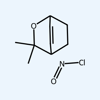 CC1(C)OC2C=CC1CC2.O=NCl